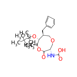 C[C@@H]1OC(=O)[C@@H](NC(=O)O)COC[C@H](Cc2ccccc2)[C@H]1O[Si](C)(C)C(C)(C)C